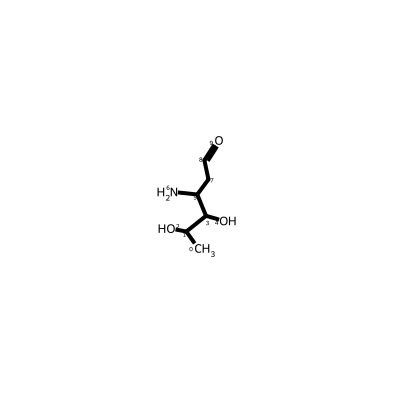 CC(O)C(O)C(N)CC=O